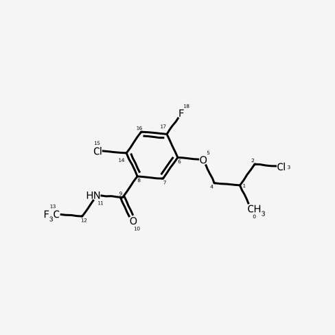 CC(CCl)COc1cc(C(=O)NCC(F)(F)F)c(Cl)cc1F